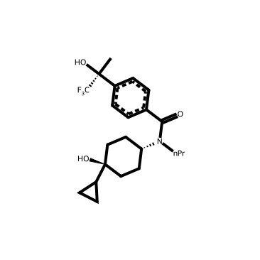 CCCN(C(=O)c1ccc([C@](C)(O)C(F)(F)F)cc1)[C@H]1CC[C@@](O)(C2CC2)CC1